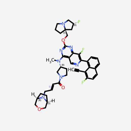 C#Cc1c(F)ccc2cccc(-c3ncc4c(N(C)[C@@H]5CCN(C(=O)/C=C/CN6[C@@H]7CC[C@H]6COC7)C5)nc(OC[C@@]56CCCN5C[C@H](F)C6)nc4c3F)c12